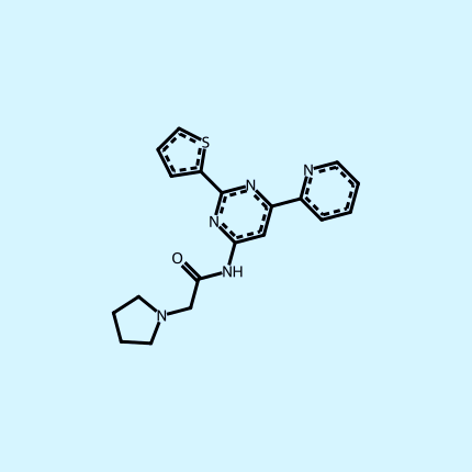 O=C(CN1CCCC1)Nc1cc(-c2ccccn2)nc(-c2cccs2)n1